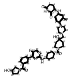 O=C1CCC(Nc2ccc(N3CCN(CC4(O)CCN(C(=O)[C@H]5CC[C@H](Nc6ncc(F)c(-c7cccc(C(=O)N8CC[C@H](O)C8)c7)n6)CC5)CC4)CC3)c(F)c2)C(=O)N1